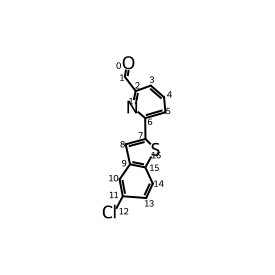 O=Cc1cccc(-c2cc3cc(Cl)ccc3s2)n1